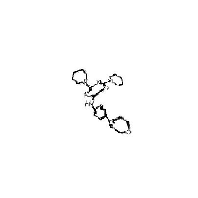 c1cc(N2CCOCC2)ccc1Nc1nc(N2CCCCC2)nc(N2CCCCC2)n1